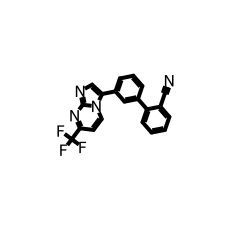 N#Cc1ccccc1-c1cccc(-c2cnc3nc(C(F)(F)F)ccn23)c1